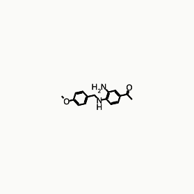 COc1ccc(CNc2ccc(C(C)=O)cc2N)cc1